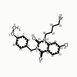 COc1ccc(Cn2c(=O)c3ccc(Cl)cc3n(CCCCBr)c2=O)cc1